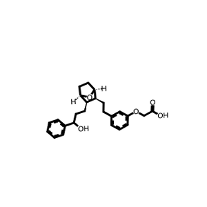 O=C(O)COc1cccc(CC[C@H]2[C@@H](CCC(O)c3ccccc3)[C@H]3CC[C@@H]2O3)c1